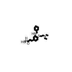 CCN(CC)CCSc1ccc(/C=C/C(=O)NO)cc1NCc1ccccc1